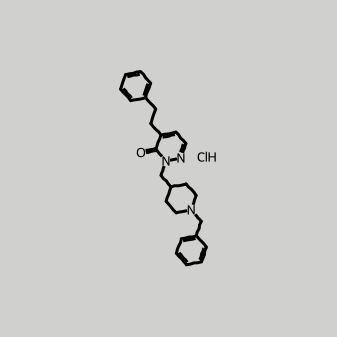 Cl.O=c1c(CCc2ccccc2)ccnn1CC1CCN(Cc2ccccc2)CC1